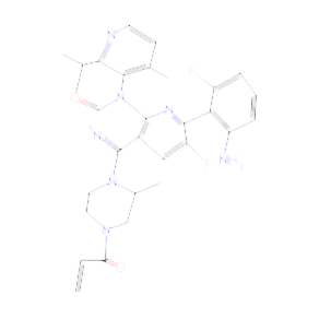 C=CC(=O)N1CCN(/C(=N/C)c2cc(F)c(-c3c(N)cccc3F)nc2N(C=O)c2c(C)ccnc2C(C)C)C(C)C1